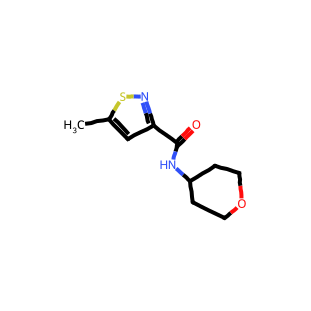 Cc1cc(C(=O)NC2CCOCC2)ns1